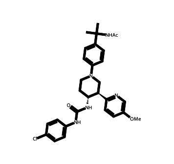 COc1ccc([C@@H]2CN(c3ccc(C(C)(C)NC(C)=O)cc3)CC[C@H]2NC(=O)Nc2ccc(Cl)cc2)nc1